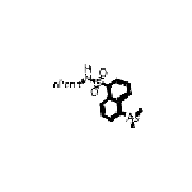 [CH2]CCCCNS(=O)(=O)c1cccc2c([As](C)C)cccc12